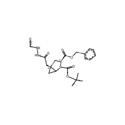 CC(C)(C)OC(=O)N1C2C[C@]2(CC(=O)NNC=O)C[C@H]1C(=O)OCc1ccccc1